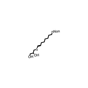 CCCCCCCCCCCCCCCC=CSCC(O)CO